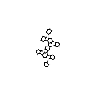 c1ccc(-n2c3ccccc3c3c4c5cc6c(cc5n5c7ccccc7c(cc32)c45)c2c3c4ccccc4n(-c4ccccc4)c3cc3c4ccccc4n6c32)cc1